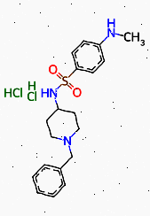 CNc1ccc(S(=O)(=O)NC2CCN(Cc3ccccc3)CC2)cc1.Cl.Cl